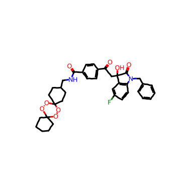 O=C(CC1(O)C(=O)N(Cc2ccccc2)c2ccc(F)cc21)c1ccc(C(=O)NCC2CCC3(CC2)OOC2(CCCCC2)OO3)cc1